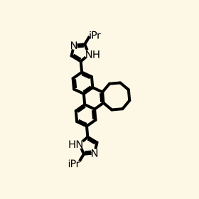 CC(C)c1ncc(-c2ccc3c(c2)c2c(c4cc(-c5cnc(C(C)C)[nH]5)ccc43)CCCCCC2)[nH]1